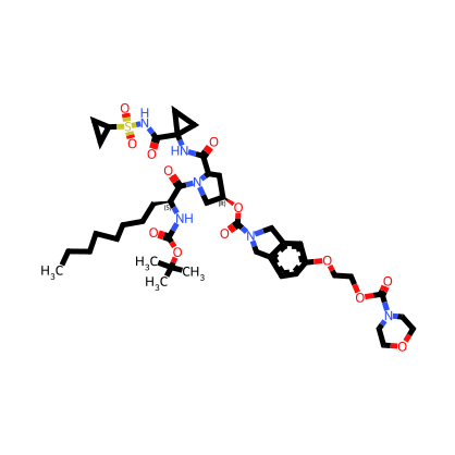 CCCCCCCC[C@H](NC(=O)OC(C)(C)C)C(=O)N1C[C@H](OC(=O)N2Cc3ccc(OCCOC(=O)N4CCOCC4)cc3C2)CC1C(=O)NC1(C(=O)NS(=O)(=O)C2CC2)CC1